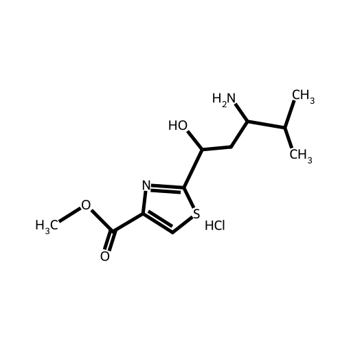 COC(=O)c1csc(C(O)CC(N)C(C)C)n1.Cl